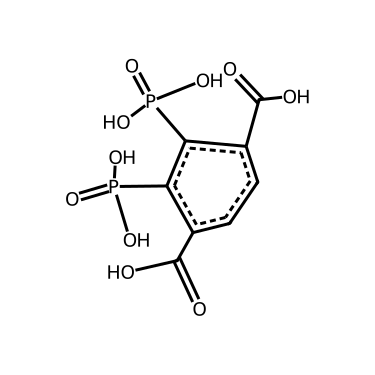 O=C(O)c1ccc(C(=O)O)c(P(=O)(O)O)c1P(=O)(O)O